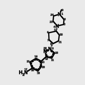 CN1CCN([C@H]2CC[C@@H](n3ccc(-c4ccc(N)cc4)n3)CC2)CC1